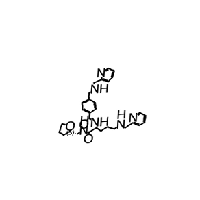 O=C(NC(CCCNCc1ccccn1)C(=O)NC[C@@H]1CCCO1)c1ccc(CNCc2ccccn2)cc1